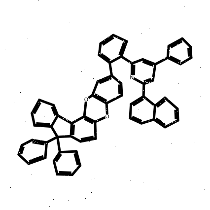 c1ccc(-c2cc(-c3ccccc3-c3ccc4c(c3)Oc3c(ccc5c3-c3ccccc3C5(c3ccccc3)c3ccccc3)O4)nc(-c3cccc4ccccc34)c2)cc1